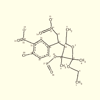 CCOC(C)(OCC)C(C)(CC(C[N+](=O)[O-])c1ccc(Cl)c([N+](=O)[O-])c1)OP=O